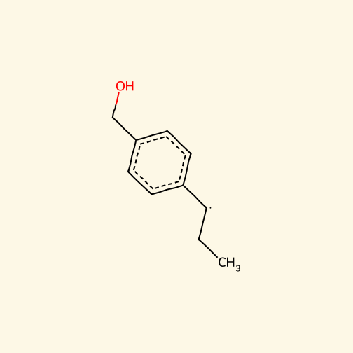 CC[CH]c1ccc(CO)cc1